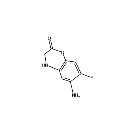 Nc1cc2c(cc1F)OC(=O)CN2